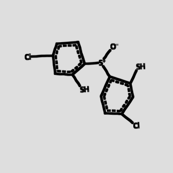 [O-][S+](c1ccc(Cl)cc1S)c1ccc(Cl)cc1S